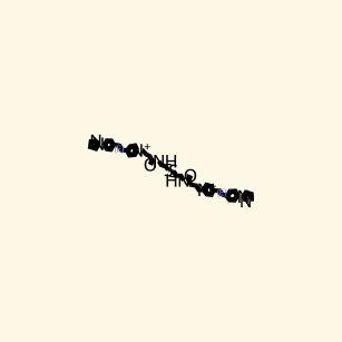 O=C(CCC[n+]1ccc(/C=C/c2ccc(-n3cccn3)cc2)cc1)NCCSSCCNC(=O)CCC[n+]1ccc(/C=C/c2ccc(-n3cccn3)cc2)cc1